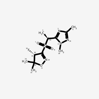 Cc1nc([C@H](C)S(=O)(=O)C2=NOC(C)(C)[C@@H]2F)n(C)n1